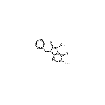 Cn1cnc2c(c1=O)n(C)c(=O)n2Cc1ccccc1